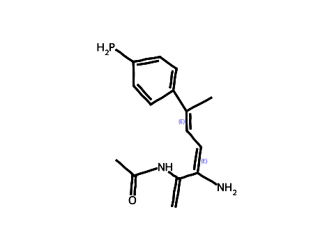 C=C(NC(C)=O)/C(N)=C\C=C(/C)c1ccc(P)cc1